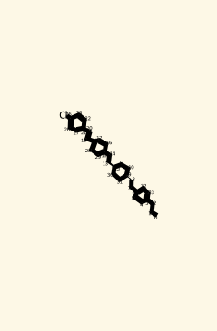 CCCc1ccc(CC[C@H]2CC[C@H](CCc3ccc(C=Cc4ccc(Cl)cc4)cc3)CC2)cc1